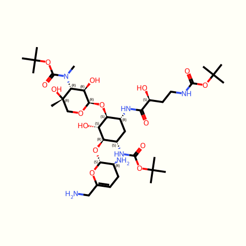 CN(C(=O)OC(C)(C)C)[C@@H]1[C@@H](O)[C@@H](O[C@@H]2[C@@H](O)[C@H](O[C@H]3OC(CN)=CC[C@H]3N)[C@@H](NC(=O)OC(C)(C)C)C[C@H]2NC(=O)[C@@H](O)CCNC(=O)OC(C)(C)C)OC[C@]1(C)O